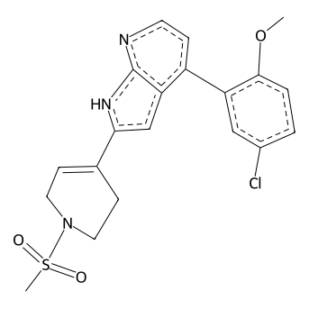 COc1ccc(Cl)cc1-c1ccnc2[nH]c(C3=CCN(S(C)(=O)=O)CC3)cc12